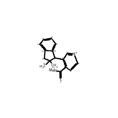 CNC(=S)c1ccncc1C1c2ccccc2CC1(C)C